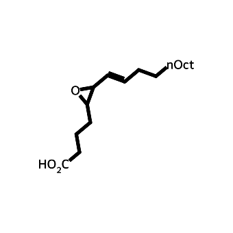 CCCCCCCCCCC=CC1OC1CCCC(=O)O